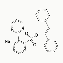 C(=Cc1ccccc1)c1ccccc1.O=S(=O)([O-])c1ccccc1-c1ccccc1.[Na+]